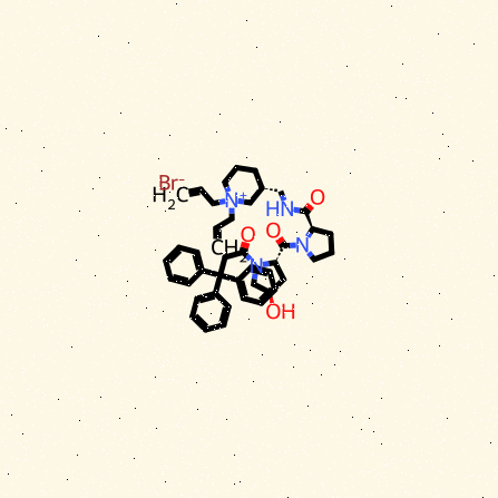 C=CC[N+]1(CC=C)CCC[C@H](CNC(=O)[C@H]2CCCN2C(=O)[C@@H]2C[C@@H](O)CN2C(=O)CC(c2ccccc2)(c2ccccc2)c2ccccc2)C1.[Br-]